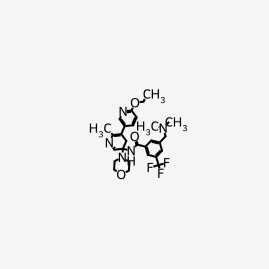 CCOc1ccc(C2=C(C)N=CC(NC(=O)c3cc(CN(C)C)cc(C(F)(F)F)c3)(N3CCOCC3)C2)cn1